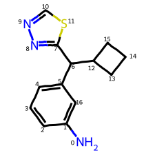 Nc1cccc(C(c2nncs2)C2CCC2)c1